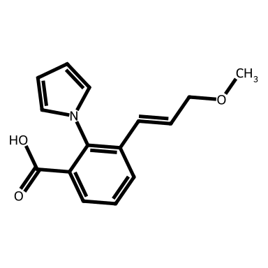 COC/C=C/c1cccc(C(=O)O)c1-n1cccc1